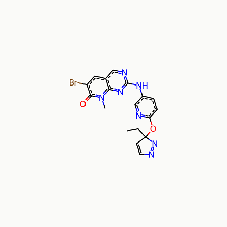 CCC1(Oc2ccc(Nc3ncc4cc(Br)c(=O)n(C)c4n3)cn2)C=CN=N1